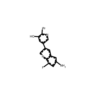 CC(C)c1ncc(-c2cnc3c(F)cc(N)cc3c2)cc1O